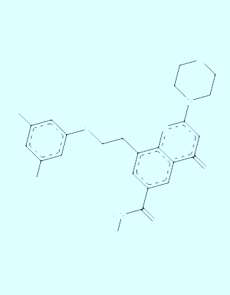 CCNC(=O)c1cc(CCNc2cc(F)cc(F)c2)c2oc(N3CCOCC3)cc(=O)c2c1